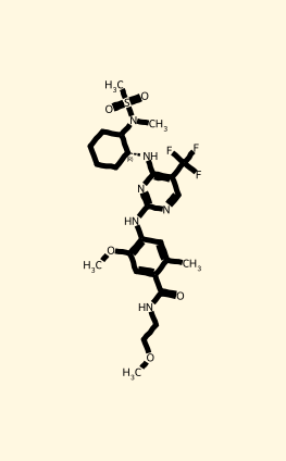 COCCNC(=O)c1cc(OC)c(Nc2ncc(C(F)(F)F)c(N[C@@H]3CCCCC3N(C)S(C)(=O)=O)n2)cc1C